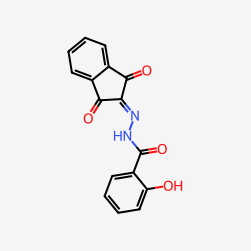 O=C(NN=c1c(=O)c2ccccc2c1=O)c1ccccc1O